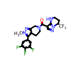 Cn1nc2c(c1-c1cc(F)c(F)c(F)c1)CCN(C(=O)c1cnn3c1NCCC3C(F)(F)F)C2